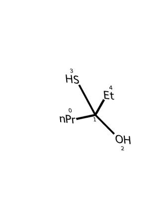 CCCC(O)(S)CC